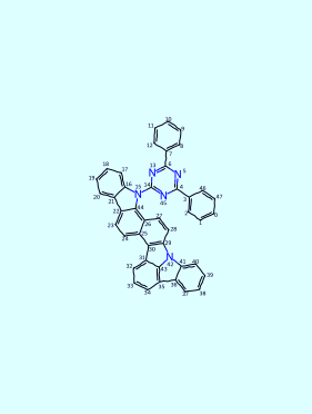 c1ccc(-c2nc(-c3ccccc3)nc(-n3c4ccccc4c4ccc5c(ccc6c5c5cccc7c8ccccc8n6c75)c43)n2)cc1